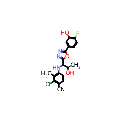 Cc1c(NC(c2nnc(-c3ccc(F)c(O)c3)o2)[C@@H](C)O)ccc(C#N)c1Cl